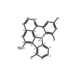 Cc1cc(C)c2c(c1)c1nccc3cc(C(C)(C)C)c4c5c(C)cccc5n2c4c31